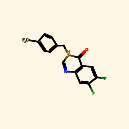 O=C1c2cc(F)c(F)cc2N=C[SH]1Cc1ccc(C(F)(F)F)cc1